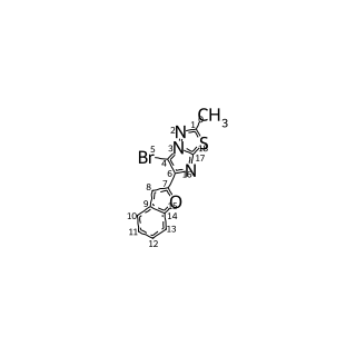 Cc1nn2c(Br)c(-c3cc4ccccc4o3)nc2s1